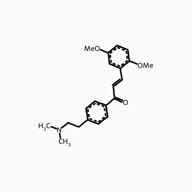 COc1ccc(OC)c(C=CC(=O)c2ccc(CCN(C)C)cc2)c1